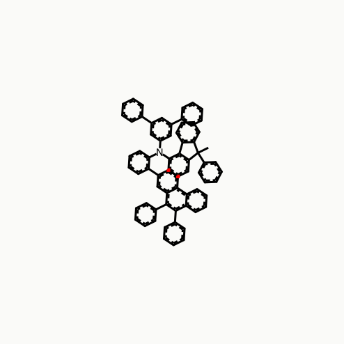 CC1(c2ccccc2)c2ccccc2-c2c(N(c3cc(-c4ccccc4)cc(-c4ccccc4)c3)c3ccccc3-c3ccc4c(c3)c(-c3ccccc3)c(-c3ccccc3)c3ccccc34)cccc21